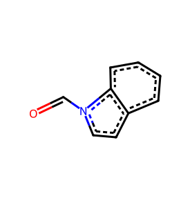 O=Cn1ccc2ccccc21